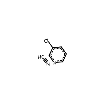 C#N.Clc1cccnc1